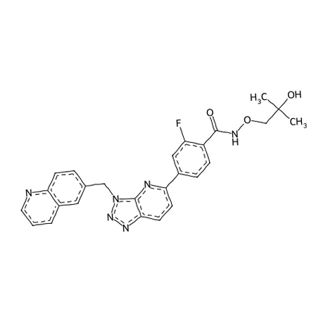 CC(C)(O)CONC(=O)c1ccc(-c2ccc3nnn(Cc4ccc5ncccc5c4)c3n2)cc1F